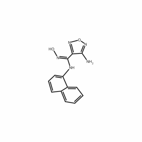 Nc1nonc1C(=NO)Nc1cccc2ccccc12